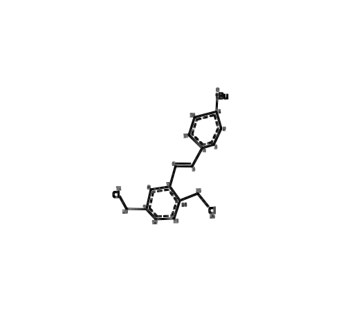 CC(C)(C)c1ccc(C=Cc2cc(CCl)ccc2CCl)cc1